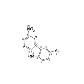 CC(=O)c1ccc2[nH]c3ccc([N+](=O)[O-])cc3c2c1